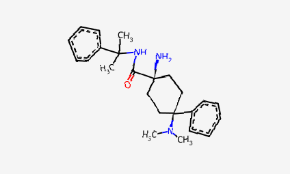 CN(C)[C@]1(c2ccccc2)CC[C@@](N)(C(=O)NC(C)(C)c2ccccc2)CC1